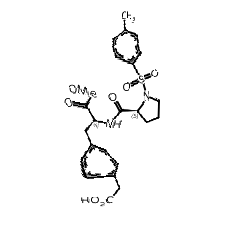 COC(=O)[C@H](Cc1ccc(CC(=O)O)cc1)NC(=O)[C@@H]1CCCN1S(=O)(=O)c1ccc(C)cc1